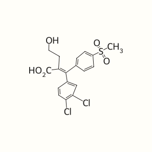 CS(=O)(=O)c1ccc(C(=C(CCO)C(=O)O)c2ccc(Cl)c(Cl)c2)cc1